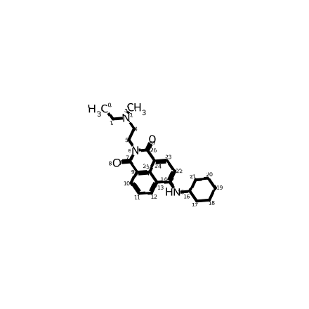 CCN(C)CCN1C(=O)c2cccc3c(NC4CCCCC4)ccc(c23)C1=O